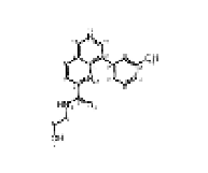 O=C(NCCO)c1ccc2cncc(-c3cccc(O)c3)c2n1